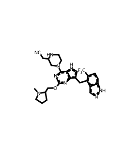 CN1CCCC1COc1nc(N2CCNC(CC#N)C2)c2[nH]cc(Cc3c(C(F)(F)F)ccc4[nH]ncc34)c2n1